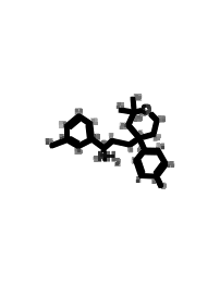 Cc1ccc(C2(CCC(N)c3cccc(C)c3)CCOC(C)(C)C2)cc1